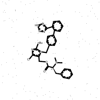 CCCCc1nc(Cl)c(COC(=O)[C@H](Cc2ccccc2)N(C)C)n1Cc1ccc(-c2ccccc2-c2nn[nH]n2)cc1